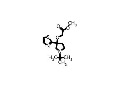 COC(=O)COC1(c2nccs2)CCN(C(C)(C)C)C1